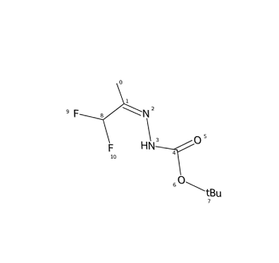 CC(=NNC(=O)OC(C)(C)C)C(F)F